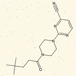 CC(C)(C)CCC(=O)N1CCN(c2nccc(C#N)n2)CC1